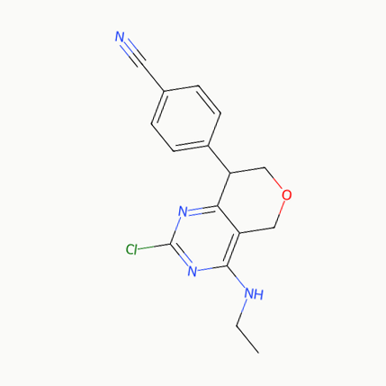 CCNc1nc(Cl)nc2c1COCC2c1ccc(C#N)cc1